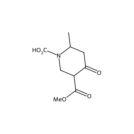 COC(=O)C1CN(C(=O)O)C(C)CC1=O